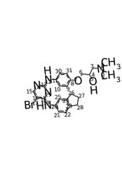 CN(C)CC(O)COc1ccc(Nc2ncc(Br)c(Nc3ccc4c(c3)CCC4)n2)cc1